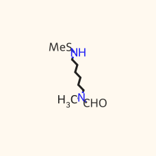 CSNCCCCCCN(C)C=O